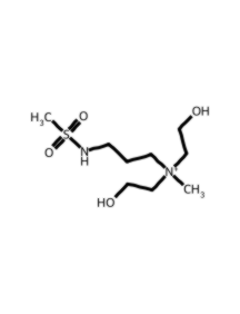 C[N+](CCO)(CCO)CCCNS(C)(=O)=O